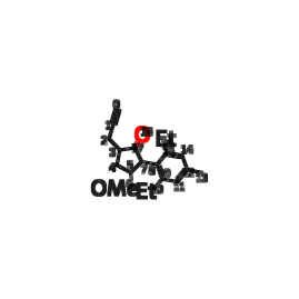 C#CCC1CC(OC)C(c2c(CC)cc(C)cc2CC)C1=O